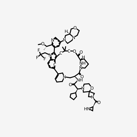 CO[C@@H](C)c1ncc(N2CCN3CCOC[C@@H]3C2)cc1-c1c2c3cc(ccc3n1CC(F)(F)F)C1=CCCN(C1)C[C@H](NC(=O)[C@H](C1CCCC1)N1CCOC3(CN(C(=O)[C@H]4CN4)C3)C1)C(=O)N1CCC[C@H](N1)C(=O)OCC(C)(C)C2